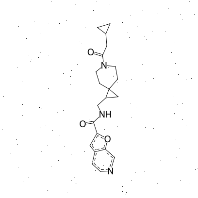 O=C(NCC1CC12CCN(C(=O)CC1CC1)CC2)c1cc2ccncc2o1